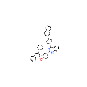 C1=C(c2cc3ccccc3c3oc4ccc(-c5nc(-c6ccc(-c7ccc8ccccc8c7)cc6)c6ccccc6n5)cc4c23)CCCC1